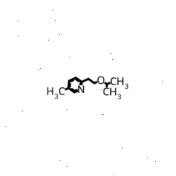 Cc1ccc(CCOC(C)C)nc1